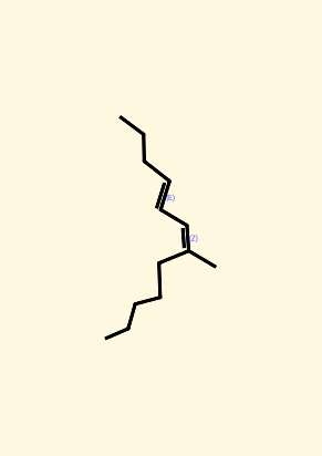 CCC/C=C/C=C(/C)CCCCC